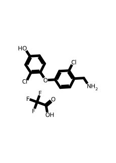 NCc1ccc(Oc2ccc(O)cc2Cl)cc1Cl.O=C(O)C(F)(F)F